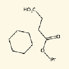 C1CCCCC1.CC(C)OC(=O)CCC(=O)O